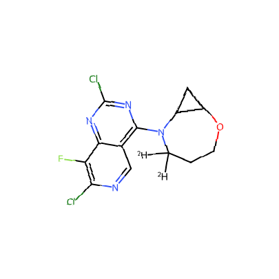 [2H]C1([2H])CCOC2CC2N1c1nc(Cl)nc2c(F)c(Cl)ncc12